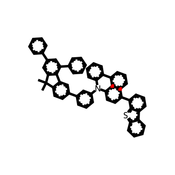 CC1(C)c2ccc(-c3cccc(N(c4ccc(-c5cccc6c5sc5ccccc56)cc4)c4ccccc4-c4ccccc4)c3)cc2-c2c(-c3ccccc3)cc(-c3ccccc3)cc21